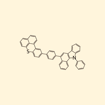 c1ccc(-n2c3ccccc3c3cc(-c4ccc(-c5ccc6c(c5)-c5cccc7cccc(c57)S6)cc4)c4ccccc4c32)cc1